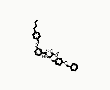 CCCCc1ccc(COc2cccc(C(=O)N[C@@H](Cc3ccc(OCc4ccccc4)cc3)C(=O)OC)c2)cc1